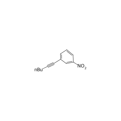 CCCCC#Cc1cccc([N+](=O)[O-])c1